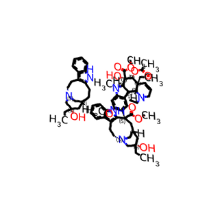 CC[C@]1(O)C[C@@H]2C[N@@](CCc3c([nH]c4ccccc34)[C@@](C(=O)OC)(c3cc4c(cc3OC)N(C)[C@H]3[C@@](O)(C(=O)OC)[C@H](OC(C)=O)[C@]5(CC)C=CCN6CC[C@]43[C@@H]65)C2)C1.CC[C@]1(O)C[C@H]2CCc3[nH]c4ccccc4c3CC[N@](C2)C1